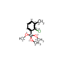 CO[Si](OC)(OC)c1cccc(C)c1Cl